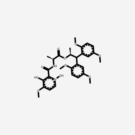 COc1ccc(OC)c(C(c2cc(OC)ccc2OC)[C@H](C)OC(=O)[C@H](C)NC(=O)c2c(O)c(OC)cc[n+]2O)c1